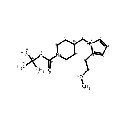 COCCC1=CC=C[SH]1CC1CCN(C(=O)OC(C)(C)C)CC1